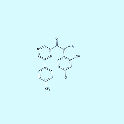 CN(C(=O)c1cncc(-c2ccc(C(F)(F)F)cc2)n1)c1ccc(Cl)cc1O